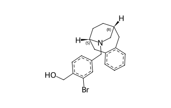 OCc1ccc(CN2C[C@@H]3CC[C@H]2Cc2ccccc2C3)cc1Br